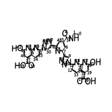 CCNC(=O)c1cc(-c2cn(-c3ccc4c(C(=O)O)cc(O)nc4n3)nn2)nc(-c2cn(-c3ccc4c(C(=O)O)cc(O)nc4n3)nn2)c1